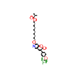 C=C(C)C(=O)OCCCCCCCCCCOc1cc2oc(=O)c(-c3ccc(OC(F)(F)F)cc3)cc2cn1